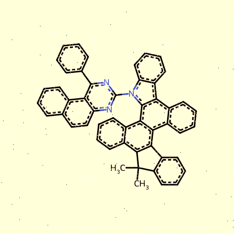 CC1(C)c2ccccc2-c2c1c1ccccc1c1c2c2ccccc2c2c3ccccc3n(-c3nc(-c4ccccc4)c4c(ccc5ccccc54)n3)c21